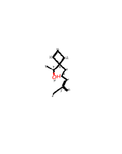 CC(C)=CCCC1([C@H](C)O)CCC1